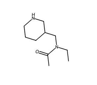 CCN(CC1CCCNC1)C(C)=O